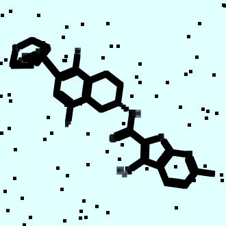 Cc1ccc2c(N)c(C(=O)N[C@H]3CCc4c(F)c(N5CC6CNCC5CO6)cc(F)c4C3)sc2n1